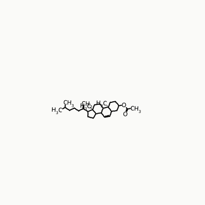 C=C(CCCC(C)C)C1CCC2C3C=CC4CC(OC(C)=O)CC[C@]4(C)C3CC[C@]12C